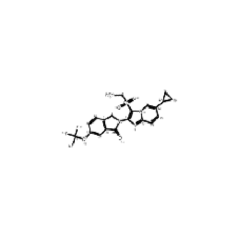 CCS(=O)(=O)c1c(N2Cc3ccc(OC(F)(F)F)cc3C2=O)nc2ccc(C3CC3)cn12